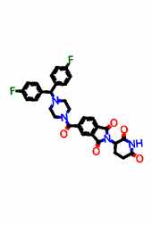 O=C1CCC(N2C(=O)c3ccc(C(=O)N4CCN(C(c5ccc(F)cc5)c5ccc(F)cc5)CC4)cc3C2=O)C(=O)N1